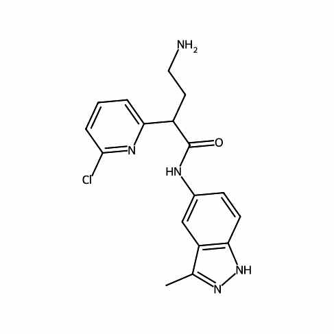 Cc1n[nH]c2ccc(NC(=O)C(CCN)c3cccc(Cl)n3)cc12